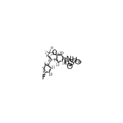 CC1(C)C=C(c2ccc(F)cc2)c2ccc(N[SH](=O)=O)cc2O1